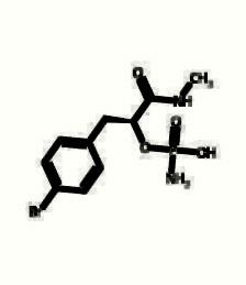 CNC(=O)[C@H](Cc1ccc(Br)cc1)OP(N)(=O)O